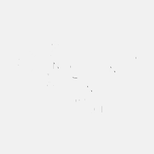 O=C1c2ccccc2C(=O)N1OC[C@H]1C[C@H](N2CCOCC2)CN1C(=O)O